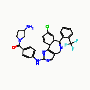 NC1CCN(C(=O)c2ccc(Nc3ncc4c(n3)C3C=CC(Cl)=CC3C(c3ccccc3C(F)(F)F)=NC4)cc2)C1